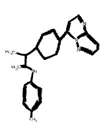 C=C(Nc1ccc(C)cc1)C(C)C1CCC(c2ccnc3ccnn23)CC1